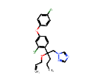 C=CCOC(CCC)(Cn1cncn1)c1ccc(Oc2ccc(Cl)cc2)cc1Cl